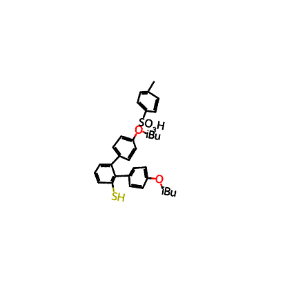 CCC(C)Oc1ccc(-c2cccc(S)c2-c2ccc(OC(C)CC)cc2)cc1.Cc1ccc(S(=O)(=O)O)cc1